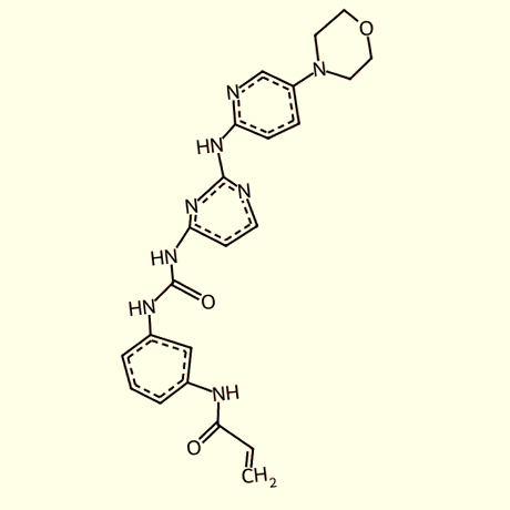 C=CC(=O)Nc1cccc(NC(=O)Nc2ccnc(Nc3ccc(N4CCOCC4)cn3)n2)c1